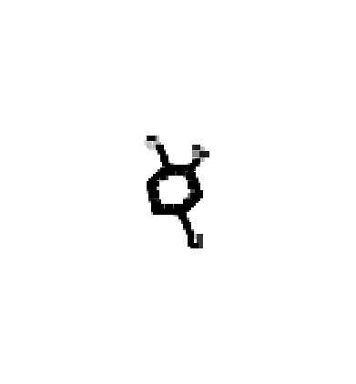 [2H]c1cc(Cl)ccc1Cl